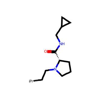 CC(C)CCN1CCC[C@H]1C(=O)NCC1CC1